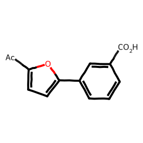 CC(=O)c1ccc(-c2cccc(C(=O)O)c2)o1